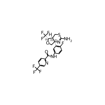 NC1=N[C@@]2(c3cc(NC(=O)c4ccc(C(F)(F)F)cn4)ccc3F)CO[C@H](C(F)(F)F)[C@H]2CS1